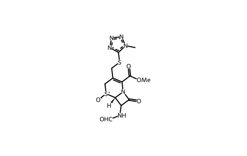 COC(=O)C1=C(CSc2nnnn2C)C[S+]([O-])[C@H]2C(NC=O)C(=O)N12